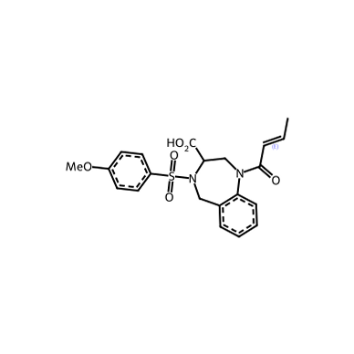 C/C=C/C(=O)N1CC(C(=O)O)N(S(=O)(=O)c2ccc(OC)cc2)Cc2ccccc21